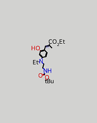 CCOC(=O)/C(C)=C/c1ccc(N(CC)CCNC(=O)OC(C)(C)C)cc1O